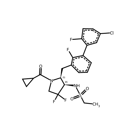 CCS(=O)(=O)N[C@@H]1[C@H](Cc2cccc(-c3cc(Cl)ccc3F)c2F)N(C(=O)C2CC2)CC1(F)F